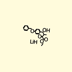 CCOC(=O)C(=O)C(C)C(O)c1ccc(OCc2ccccc2)cc1.[LiH]